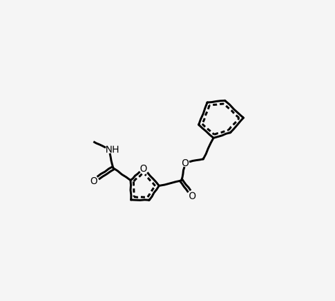 CNC(=O)c1ccc(C(=O)OCc2ccccc2)o1